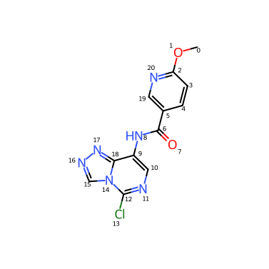 COc1ccc(C(=O)Nc2cnc(Cl)n3cnnc23)cn1